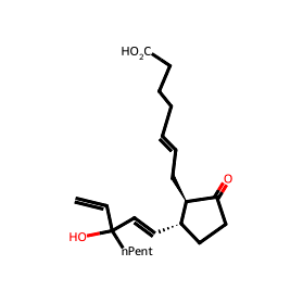 C=CC(O)(C=C[C@H]1CCC(=O)[C@@H]1CC=CCCCC(=O)O)CCCCC